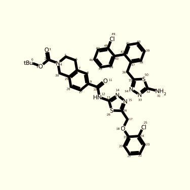 CC(C)(C)OC(=O)N1CCc2cc(C(=O)Nc3nnc(COc4ccccc4Cl)s3)ccc2C1.Nc1nnc(Cc2ccccc2-c2ccccc2Cl)s1